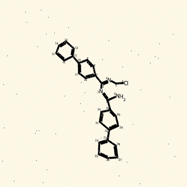 N/C(=N\C(=N/CCl)c1ccc(-c2ccccc2)cc1)c1ccc(-c2ccccc2)cc1